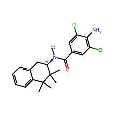 CCN(C(=O)c1cc(Cl)c(N)c(Cl)c1)[C@@H]1Cc2ccccc2C(C)(C)C1(C)C